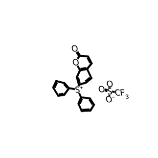 O=S(=O)([O-])C(F)(F)F.O=c1ccc2ccc([S+](c3ccccc3)c3ccccc3)cc2o1